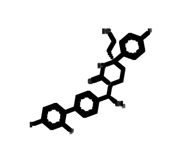 C[C@@H](c1ccc(-c2ccc(F)cc2F)cc1)N1CC[C@](CCO)(c2ccc(F)cc2)NC1=O